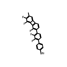 CCCc1ccc(-c2ccc(-c3ccc4c(c3F)-c3c-4cc(C)c(F)c3F)c(F)c2F)cc1